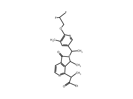 CCC(=O)C(C)c1nccc2c1C(C)N(C(C)c1cnc(OCC(F)F)c(C)c1)C2=O